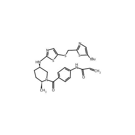 C=CC(=O)Nc1ccc(C(=O)N2C[C@H](Nc3ncc(SCc4ncc(C(C)(C)C)s4)s3)CC[C@@H]2C)cc1